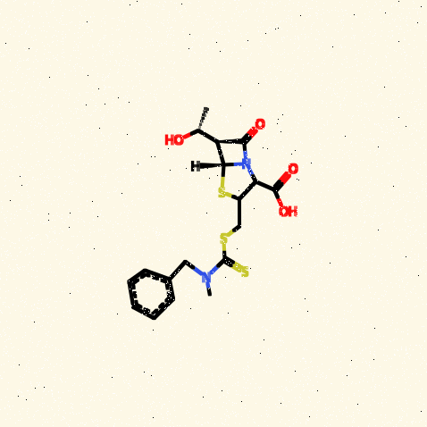 C[C@@H](O)[C@H]1C(=O)N2C(C(=O)O)C(CSC(=S)N(C)Cc3ccccc3)S[C@H]12